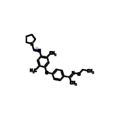 CCON=C(C)c1ccc(Oc2cc(C)c(/N=C/N3CCCC3)cc2C)cc1